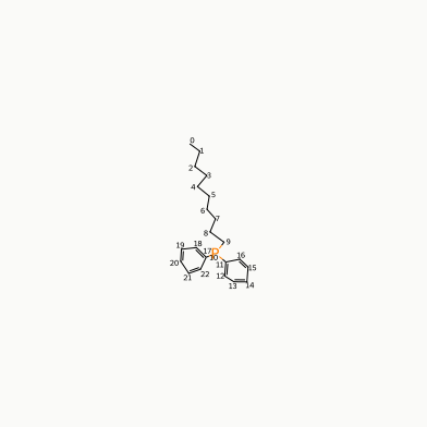 CCCCCCCCCCP(c1ccccc1)c1ccccc1